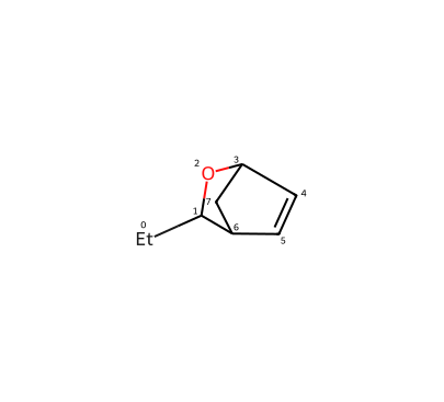 CCC1OC2C=CC1C2